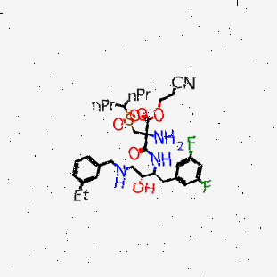 CCCC(CCC)S(=O)(=O)C[C@@](N)(C(=O)N[C@@H](Cc1cc(F)cc(F)c1)[C@H](O)CNCc1cccc(CC)c1)C(=O)OCCC#N